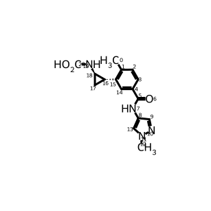 Cc1ccc(C(=O)Nc2cnn(C)c2)cc1[C@@H]1C[C@H]1NC(=O)O